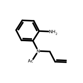 C=CCN(C(C)=O)c1ccccc1N